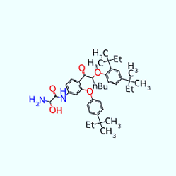 CCCCC(Oc1ccc(C(C)(C)CC)cc1C(C)(C)CC)C(=O)c1ccc(NC(=O)C(N)O)cc1Oc1ccc(C(C)(C)CC)cc1